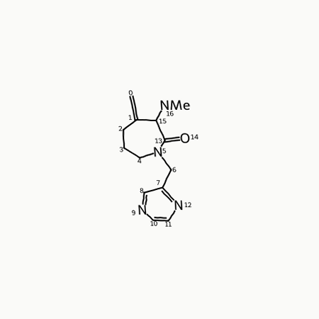 C=C1CCCN(Cc2cnccn2)C(=O)C1NC